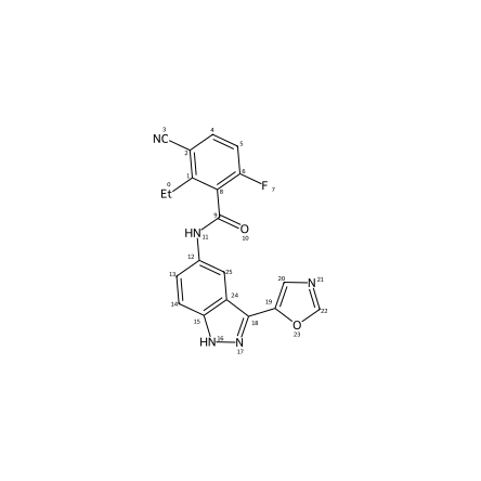 CCc1c(C#N)ccc(F)c1C(=O)Nc1ccc2[nH]nc(-c3cnco3)c2c1